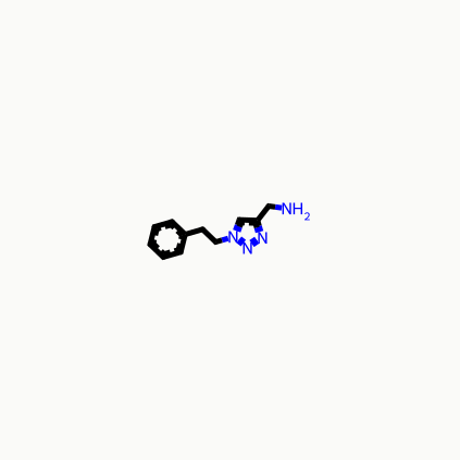 NCc1cn(CCc2ccccc2)nn1